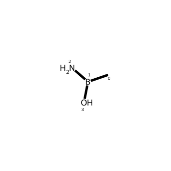 CB(N)O